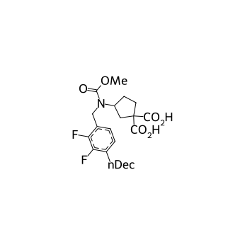 CCCCCCCCCCc1ccc(CN(C(=O)OC)C2CCC(C(=O)O)(C(=O)O)C2)c(F)c1F